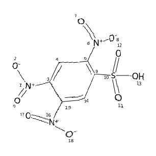 O=[N+]([O-])c1cc([N+](=O)[O-])c(S(=O)(=O)O)cc1[N+](=O)[O-]